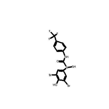 O=C(Nc1ccc(C(F)(F)F)cc1)N(S)c1cc(Br)c(O)c(Br)c1